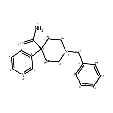 NC(=O)C1(c2cccnc2)CCN(Cc2ccccc2)CC1